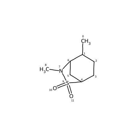 CC1CCC2CC1N(C)S2(=O)=O